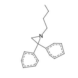 CCCCN1CC1(c1ccccc1)c1ccccc1